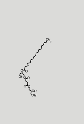 CCCCCCCCCCCCCCCCCC(=O)OC(CO)COC(=O)CCC(=O)OCC(O)CO